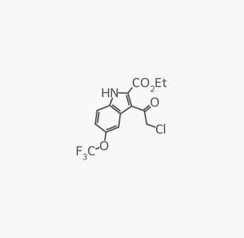 CCOC(=O)c1[nH]c2ccc(OC(F)(F)F)cc2c1C(=O)CCl